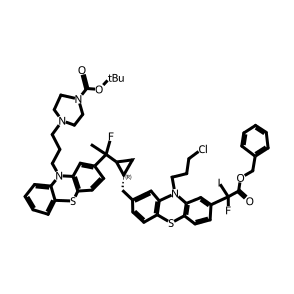 CC(C)(C)OC(=O)N1CCN(CCCN2c3ccccc3Sc3ccc(C(C)(F)C4C[C@@H]4Cc4ccc5c(c4)N(CCCCl)c4cc(C(F)(I)C(=O)OCc6ccccc6)ccc4S5)cc32)CC1